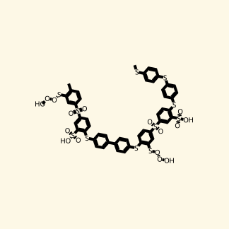 CSc1ccc(Sc2ccc(Sc3ccc(S(=O)(=O)c4ccc(Sc5ccc(-c6ccc(Sc7ccc(S(=O)(=O)c8ccc(C)c(SOOO)c8)cc7S(=O)(=O)O)cc6)cc5)c(SOOO)c4)cc3S(=O)(=O)O)cc2)cc1